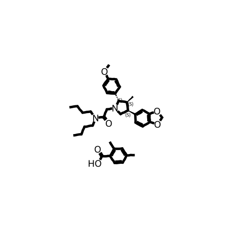 CCCCN(CCCC)C(=O)CN1C[C@H](c2ccc3c(c2)OCO3)[C@H](C)[C@H]1c1ccc(OC)cc1.Cc1ccc(C(=O)O)c(C)c1